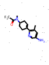 Cc1cc(N)cnc1C1=CCC(N(C)C(=O)C(F)(F)F)CC1